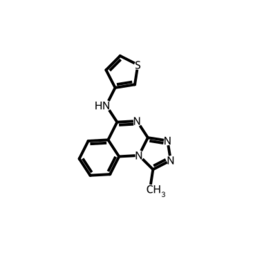 Cc1nnc2nc(Nc3ccsc3)c3ccccc3n12